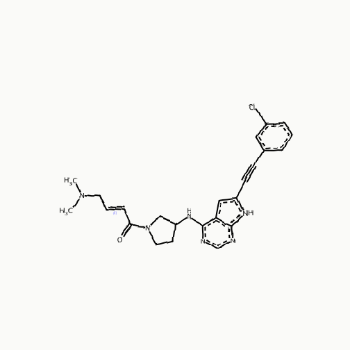 CN(C)C/C=C/C(=O)N1CCC(Nc2ncnc3[nH]c(C#Cc4cccc(Cl)c4)cc23)C1